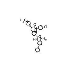 CN1CCN(C(Cc2ccc(C(=O)Nc3cc(-c4ccccc4)ccc3N)cc2)C(=O)Nc2ccc(Cl)cc2)CC1